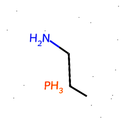 CCCN.P